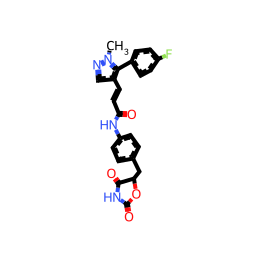 Cn1ncc(/C=C/C(=O)Nc2ccc(CC3OC(=O)NC3=O)cc2)c1-c1ccc(F)cc1